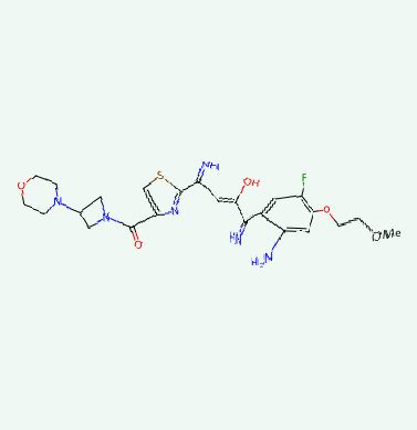 COCCOc1cc(N)c(C(=N)/C(O)=C/C(=N)c2nc(C(=O)N3CC(N4CCOCC4)C3)cs2)cc1F